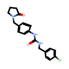 O=C(NCc1ccc(Cl)cc1)Nc1ccc(CN2CCCC2=O)cc1